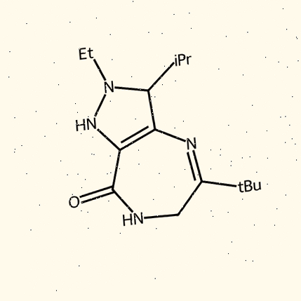 CCN1NC2=C(N=C(C(C)(C)C)CNC2=O)C1C(C)C